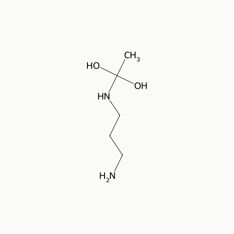 CC(O)(O)NCCCN